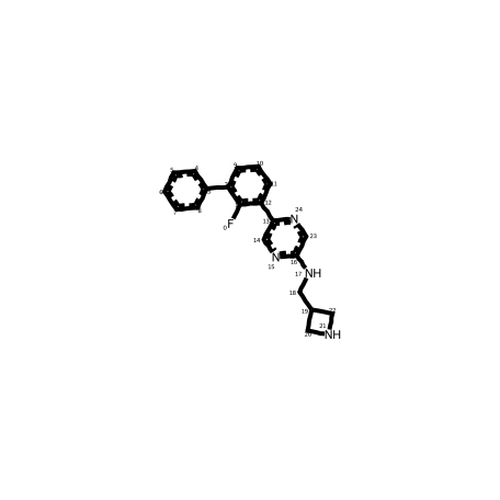 Fc1c(-c2ccccc2)cccc1-c1cnc(NCC2CNC2)cn1